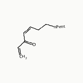 C=CC(=O)/C=C\CCCCCCC